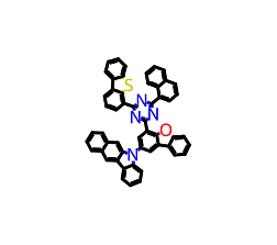 c1ccc2cc3c(cc2c1)c1ccccc1n3-c1cc(-c2nc(-c3cccc4ccccc34)nc(-c3cccc4c3sc3ccccc34)n2)c2oc3ccccc3c2c1